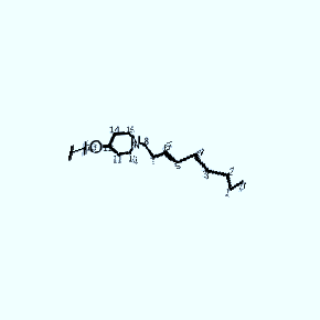 CCCCCCCCCN1CCC(O)CC1